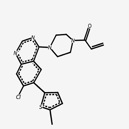 C=CC(=O)N1CCN(c2ncnc3cc(Cl)c(-c4ccc(C)s4)cc23)CC1